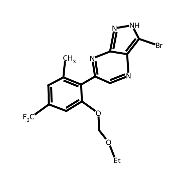 CCOCOc1cc(C(F)(F)F)cc(C)c1-c1cnc2c(Br)[nH]nc2n1